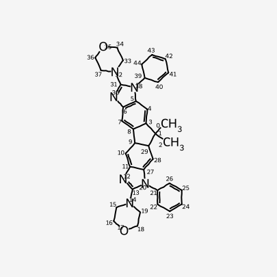 CC1(C)c2cc3c(cc2C2C=c4nc(N5CCOCC5)n(-c5ccccc5)c4=CC21)nc(N1CCOCC1)n3C1C=CC=CC1